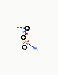 COc1ccccc1NC(=O)c1cccc(S(=O)(=O)N(CCCN)C2CCCCC2)c1